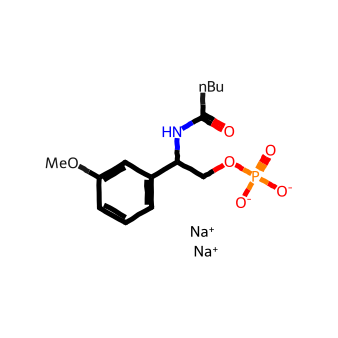 CCCCC(=O)NC(COP(=O)([O-])[O-])c1cccc(OC)c1.[Na+].[Na+]